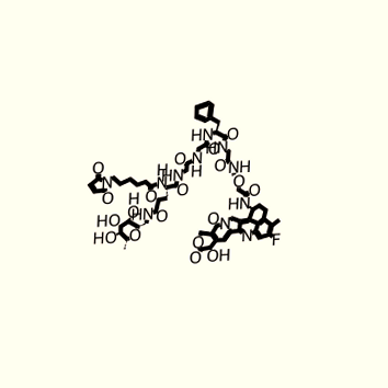 Cc1c(F)cc2nc3c(c4c2c1CC[C@@H]4NC(=O)COCNC(=O)CNC(=O)[C@H](Cc1ccccc1)NC(=O)CNC(=O)CNC(=O)[C@H](CCC(=O)NC[C@@H]1O[C@H](C)[C@@H](O)[C@H](O)[C@H]1O)NC(=O)CCCCCN1C(=O)C=CC1=O)Cn1c-3cc2c(c1=O)COC(=O)[C@H]2O